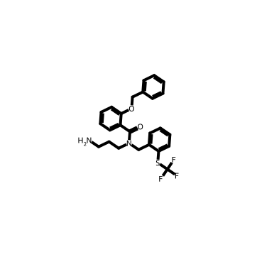 NCCCN(Cc1ccccc1SC(F)(F)F)C(=O)c1ccccc1OCc1ccccc1